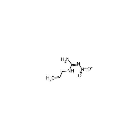 C=C[CH]N/C(N)=N\[N+](=O)[O-]